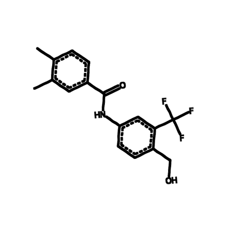 Cc1ccc(C(=O)Nc2ccc(CO)c(C(F)(F)F)c2)cc1C